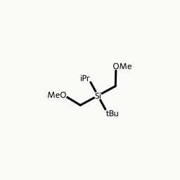 COC[Si](COC)(C(C)C)C(C)(C)C